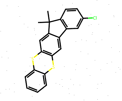 CC1(C)c2ccc(Cl)cc2-c2cc3c(cc21)Sc1ccccc1S3